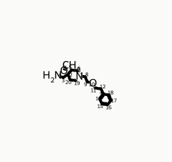 COC1(CN)CCN(CCOCCc2ccccc2)CC1